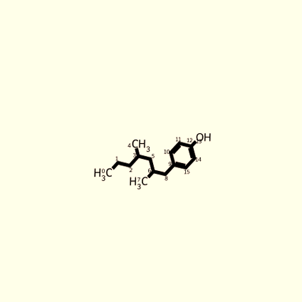 CCCC(C)CC(C)Cc1ccc(O)cc1